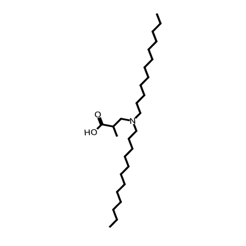 CCCCCCCCCCCCN(CCCCCCCCCCCC)CC(C)C(=O)O